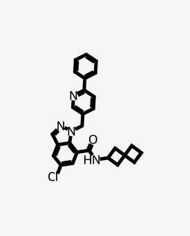 O=C(NC1CC2(CCC2)C1)c1cc(Cl)cc2cnn(Cc3ccc(-c4ccccc4)nc3)c12